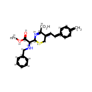 C=c1ccc(=C/C=C2\CSC(C(NCc3ccccc3)C(=O)OCCC)N=C2C(=O)O)cc1